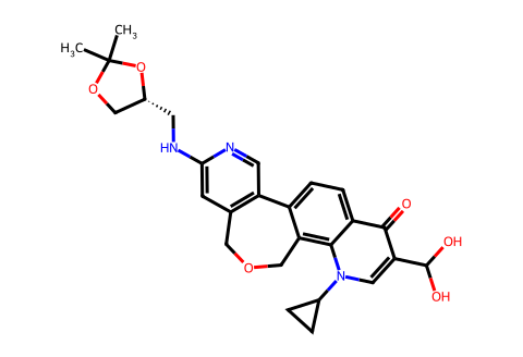 CC1(C)OC[C@@H](CNc2cc3c(cn2)-c2ccc4c(=O)c(C(O)O)cn(C5CC5)c4c2COC3)O1